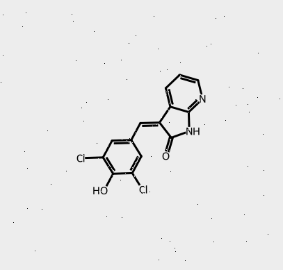 O=C1Nc2ncccc2C1=Cc1cc(Cl)c(O)c(Cl)c1